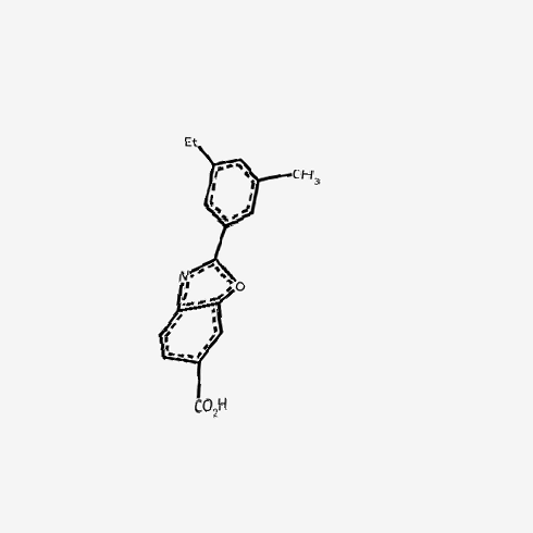 CCc1cc(C)cc(-c2nc3ccc(C(=O)O)cc3o2)c1